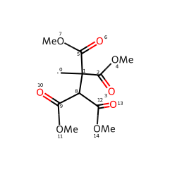 [CH2]C(C(=O)OC)(C(=O)OC)C(C(=O)OC)C(=O)OC